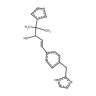 CC(C)(C(O)C=Cc1ccc(Cc2ncc[nH]2)cc1)n1ccnc1